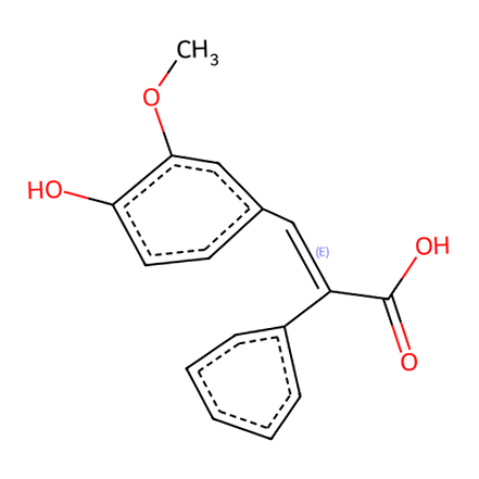 COc1cc(/C=C(/C(=O)O)c2ccccc2)ccc1O